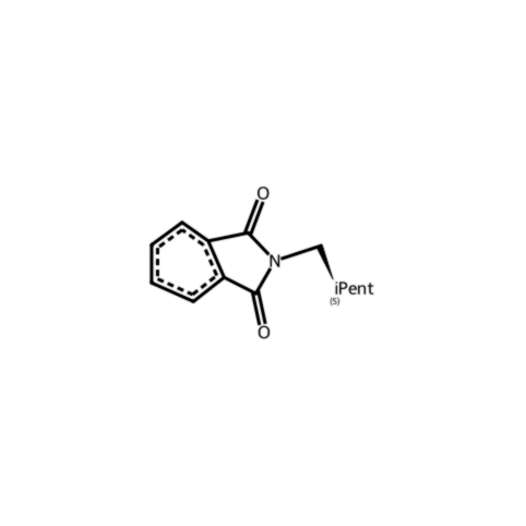 CCC[C@H](C)CN1C(=O)c2ccccc2C1=O